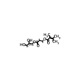 CC(C)=C(C)C(=O)OCCC(=O)OCC(O)CO